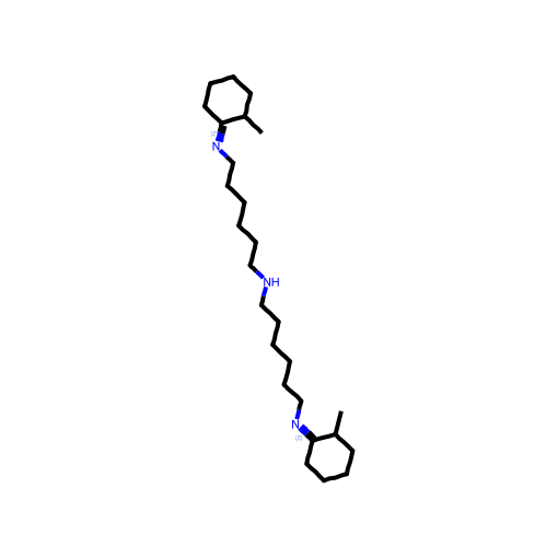 CC1CCCC/C1=N/CCCCCCNCCCCCC/N=C1/CCCCC1C